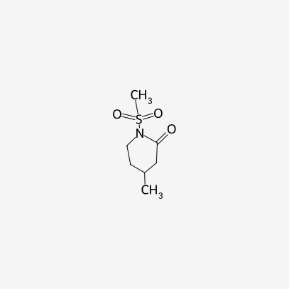 CC1CCN(S(C)(=O)=O)C(=O)C1